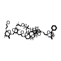 C=C(Br)C[C@H](CC[C@@]12C[C@H]3O[C@H]4C(O1)[C@H]1O[C@@H](CC(=O)C[C@H]5C(C[C@H]6O[C@@H](CCC=O)C[C@@H](C)C6=C)O[C@H](C[C@H](C)CO[Si](C)(C)C(C)(C)C)[C@@H]5C)CC[C@@H]1O[C@H]4[C@H]3O2)OC(=O)c1ccccc1